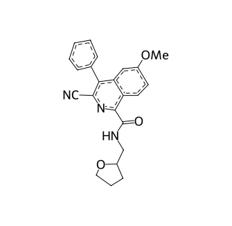 COc1ccc2c(C(=O)NCC3CCCO3)nc(C#N)c(-c3ccccc3)c2c1